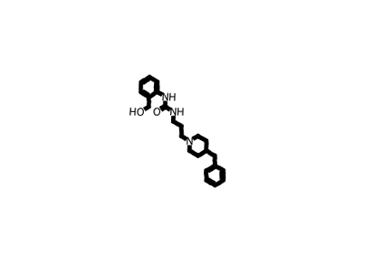 O=C(NCCCN1CCC(Cc2ccccc2)CC1)Nc1ccccc1CO